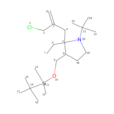 C=C(CCl)CC1(CC)C(CO[Si](C)(C)C(C)(C)C)CCN1C(C)(C)C